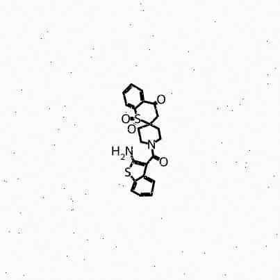 Nc1sc2ccccc2c1C(=O)N1CCC2(CC1)CC(=O)c1ccccc1S2(=O)=O